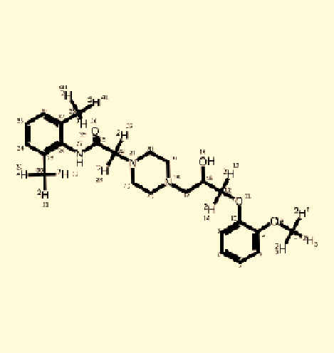 [2H]C([2H])([2H])Oc1ccccc1OC([2H])([2H])C(O)CN1CCN(C([2H])([2H])C(=O)Nc2c(C([2H])([2H])[2H])cccc2C([2H])([2H])[2H])CC1